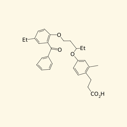 CCc1ccc(OCCC(CC)Oc2ccc(CCC(=O)O)c(C)c2)c(C(=O)c2ccccc2)c1